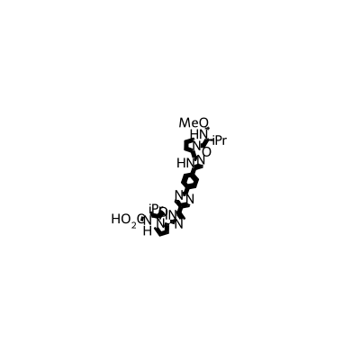 COCN[C@H](C(=O)N1CCCC1c1ncc(-c2ccc(-c3ncc(-c4cnc([C@@H]5CCCN5C(=O)[C@@H](NC(=O)O)C(C)C)[nH]4)cn3)cc2)[nH]1)C(C)C